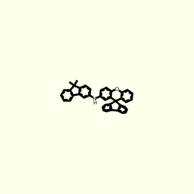 CC1(C)c2ccccc2-c2cc(Nc3ccc4c(c3)C3(c5ccccc5O4)c4ccccc4-c4ccccc43)ccc21